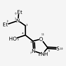 CCN(CC)CC(O)c1n[nH]c(=S)o1